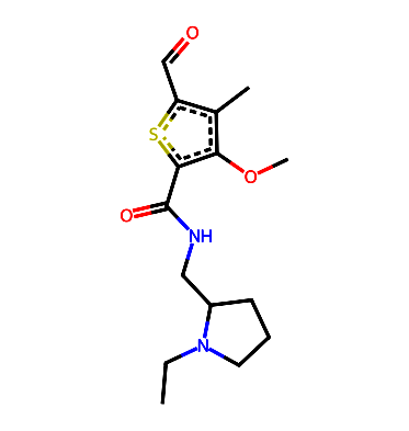 CCN1CCCC1CNC(=O)c1sc(C=O)c(C)c1OC